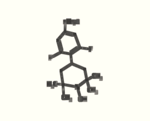 CCCCCCCc1cc(F)c(C2CC(C)(C)N(O)C(C)(C)C2)c(F)c1